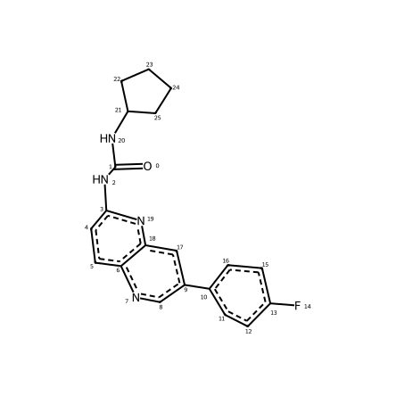 O=C(Nc1ccc2ncc(-c3ccc(F)cc3)cc2n1)NC1CCCC1